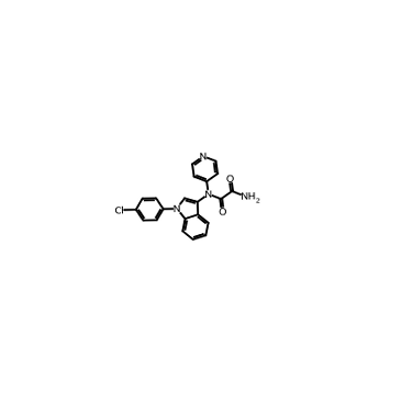 NC(=O)C(=O)N(c1ccncc1)c1cn(-c2ccc(Cl)cc2)c2ccccc12